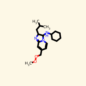 COOCC1=CC2=NC(CC(C)C)C(NC3CCCCC3)N2C=C1